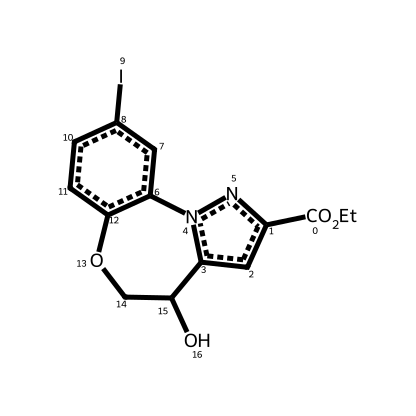 CCOC(=O)c1cc2n(n1)-c1cc(I)ccc1OCC2O